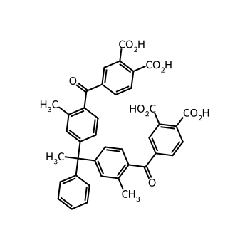 Cc1cc(C(C)(c2ccccc2)c2ccc(C(=O)c3ccc(C(=O)O)c(C(=O)O)c3)c(C)c2)ccc1C(=O)c1ccc(C(=O)O)c(C(=O)O)c1